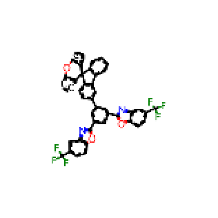 FC(F)(F)c1ccc2oc(-c3cc(-c4ccc5c(c4)-c4ccccc4C54c5ccccc5Oc5ccccc54)cc(-c4nc5cc(C(F)(F)F)ccc5o4)c3)nc2c1